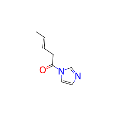 C/C=C/CC(=O)n1ccnc1